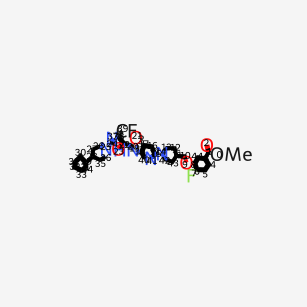 COC(=O)c1ccc(F)c(OCC2CCN(c3ccc(NC(=O)c4oc(N5CCC(c6ccccc6)CC5)nc4C(F)(F)F)cn3)CC2)c1